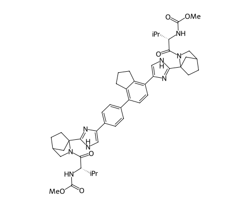 COC(=O)N[C@H](C(=O)N1CC2CCC1(c1nc(-c3ccc(-c4ccc(-c5c[nH]c(C67CCC(CN6C(=O)[C@@H](NC(=O)OC)C(C)C)C7)n5)c5c4CCC5)cc3)c[nH]1)C2)C(C)C